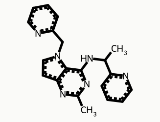 Cc1nc(NC(C)c2ccccn2)c2c(ccn2Cc2ccccn2)n1